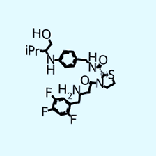 CC(C)C(CO)Nc1ccc(CNC(=O)[C@@H]2SCCN2C(=O)CC(N)Cc2cc(F)c(F)cc2F)cc1